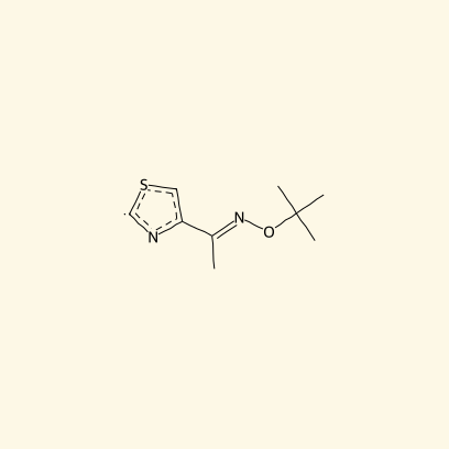 CC(=NOC(C)(C)C)c1cs[c]n1